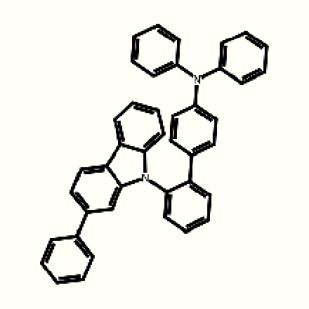 c1ccc(-c2ccc3c4ccccc4n(-c4ccccc4-c4ccc(N(c5ccccc5)c5ccccc5)cc4)c3c2)cc1